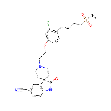 CS(=O)(=O)CCCCc1ccc(OCCN2CCC3(CC2)C(=O)Nc2ccc(C#N)cc23)cc1F